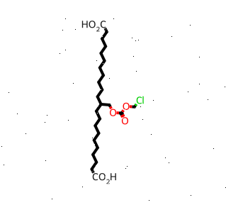 O=C(O)CCCCCCCCCCC(CCCCCCCCCC(=O)O)COC(=O)OCCl